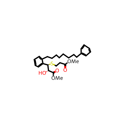 COC(=O)CCS[C@H](c1ccccc1CCCCCCCCc1ccccc1)[C@@H](O)C(=O)OC